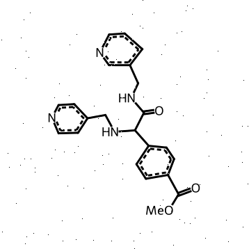 COC(=O)c1ccc(C(NCc2ccncc2)C(=O)NCc2cccnc2)cc1